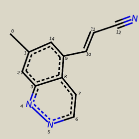 Cc1[c]c2nnccc2c(C=CC#N)c1